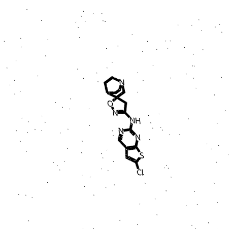 Clc1cc2cnc(NC3=NOC4(C3)CN3CCC4CC3)nc2s1